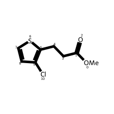 COC(=O)CCc1sccc1Cl